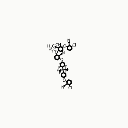 CC(C)(C)c1cc(Oc2cccc(Cl)c2C#N)ccc1Oc1cccc(Oc2ccc(C(c3ccc(Oc4cccc(Cl)c4C#N)cc3)(C(F)(F)F)C(F)(F)F)cc2)c1C#N